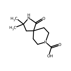 CC1(C)CC2(CCN(C(=O)O)CC2)C(=O)N1